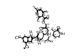 COc1cc(Cl)cc2[nH]c(C(=O)N[C@@H](CC(C)C)C(=O)N[C@@H](C[C@@H]3CCCNC3=O)C(=O)COC(=O)c3c(C)cc(C)nc3C)cc12